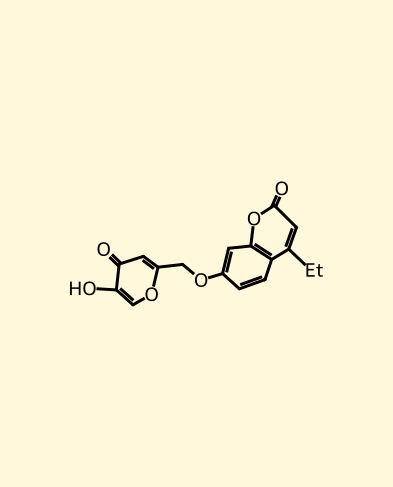 CCc1cc(=O)oc2cc(OCc3cc(=O)c(O)co3)ccc12